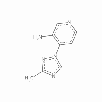 Cc1ncn(-c2ccncc2N)n1